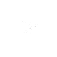 COC(=O)[C@H]1CC[C@H](N(C)C(=O)c2cc(C(F)(F)F)cc(C(F)(F)F)c2)[C@@H]1c1ccc(F)cc1